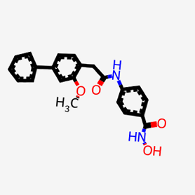 COc1cc(-c2ccccc2)ccc1CC(=O)Nc1ccc(C(=O)NO)cc1